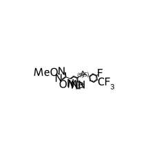 COc1ncc(-c2cc([C@H]3C[C@@H]3c3ccc(C(F)(F)F)c(F)c3)c3nccn3n2)c(OC)n1